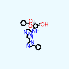 C[C@H]1C(OC(=O)c2ccccc2)[C@H](Nc2ccnc3cc(-c4cncc(-c5ccccc5)n4)nn23)C[C@@H]1CO